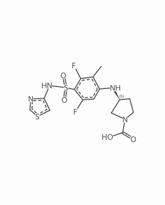 Cc1c(N[C@H]2CCN(C(=O)O)C2)cc(F)c(S(=O)(=O)Nc2cscn2)c1F